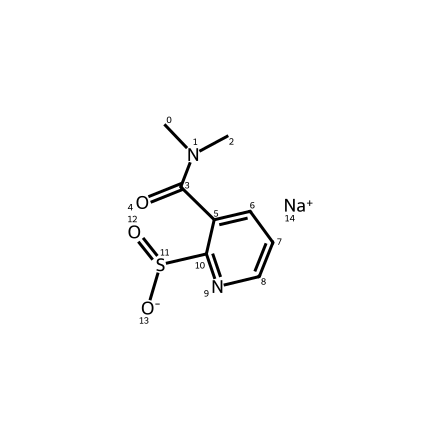 CN(C)C(=O)c1cccnc1S(=O)[O-].[Na+]